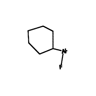 [F][Al][CH]1CCCCC1